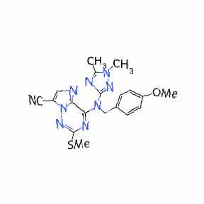 COc1ccc(CN(c2nc(C)n(C)n2)c2nc(SC)nn3c(C#N)cnc23)cc1